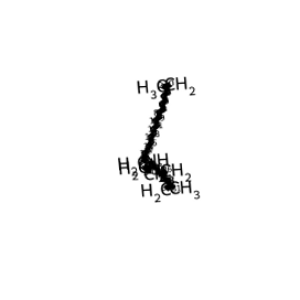 C=C(C)CCCCCCCCCCCCCCCCC(=C)NC(CCC(=C)CCC(=C)C)C(=C)C